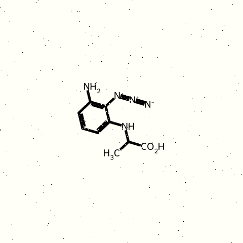 CC(Nc1cccc(N)c1N=[N+]=[N-])C(=O)O